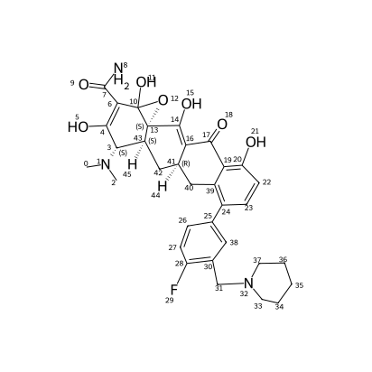 CN(C)[C@@H]1C(O)=C(C(N)=O)C2(O)O[C@@]23C(O)=C2C(=O)c4c(O)ccc(-c5ccc(F)c(CN6CCCCC6)c5)c4C[C@H]2C[C@@H]13